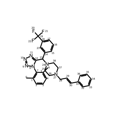 Cc1cccc(C)c1-n1nnnc1C(c1cccc(C(F)(F)F)c1)N1CCN(C/C=C/c2ccccc2)CC1